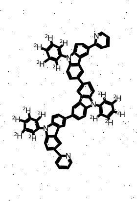 [2H]c1c([2H])c([2H])c(-n2c3ccc(-c4ccc5c(c4)c4cc(-c6ccccn6)ccc4n5-c4c([2H])c([2H])c([2H])c([2H])c4[2H])cc3c3cc(-c4ccc5c(c4)c4cc(-c6ccccn6)ccc4n5-c4c([2H])c([2H])c([2H])c([2H])c4[2H])ccc32)c([2H])c1[2H]